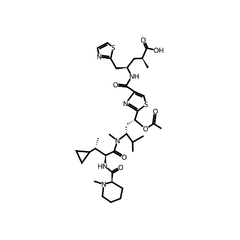 CC(=O)O[C@H](C[C@H](C(C)C)N(C)C(=O)[C@@H](NC(=O)[C@H]1CCCCN1C)[C@@H](C)C1CC1)c1nc(C(=O)N[C@@H](Cc2nccs2)C[C@H](C)C(=O)O)cs1